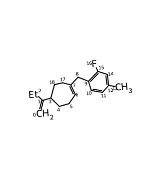 C=C(CC)C1CCC=C(Cc2ccc(C)cc2F)CC1